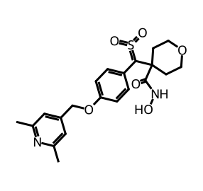 Cc1cc(COc2ccc(C(=S(=O)=O)C3(C(=O)NO)CCOCC3)cc2)cc(C)n1